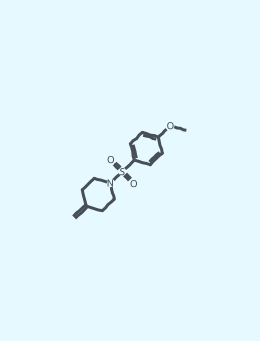 C=C1CCN(S(=O)(=O)c2ccc(OC)cc2)CC1